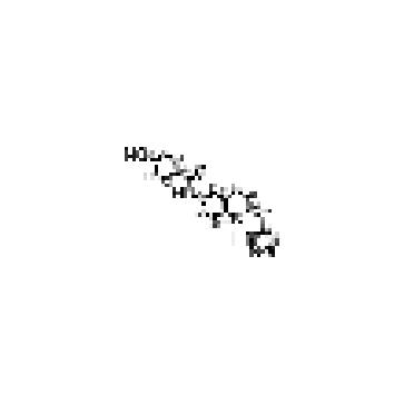 N#Cc1ccc(C(=O)Nc2ccc3c(c2)CCC(Cc2nnn[nH]2)O3)cc1